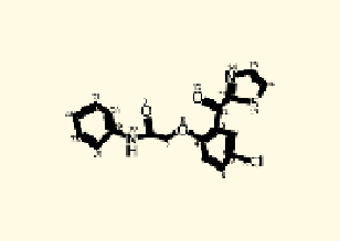 O=C(COc1ccc(Cl)cc1C(=O)c1nccs1)Nc1ccccc1